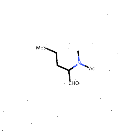 CSCCC([C]=O)N(C)C(C)=O